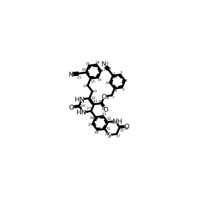 N#Cc1cccc(COC(=O)C2=C(CCc3ccccc3C#N)NC(=O)NC2c2ccc3c(c2)NC(=O)CS3)c1